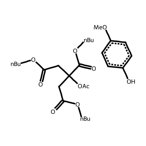 CCCCOC(=O)CC(CC(=O)OCCCC)(OC(C)=O)C(=O)OCCCC.COc1ccc(O)cc1